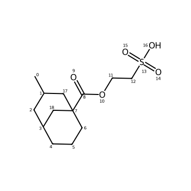 CC1CC2CCCC(C(=O)OCCS(=O)(=O)O)(C1)C2